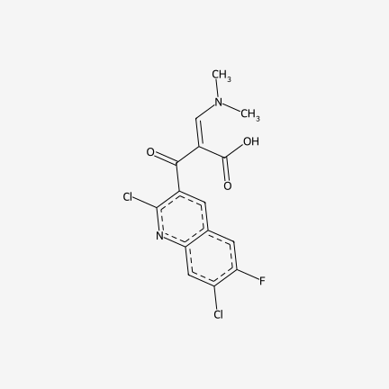 CN(C)C=C(C(=O)O)C(=O)c1cc2cc(F)c(Cl)cc2nc1Cl